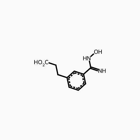 N=C(NO)c1cccc(CCC(=O)O)c1